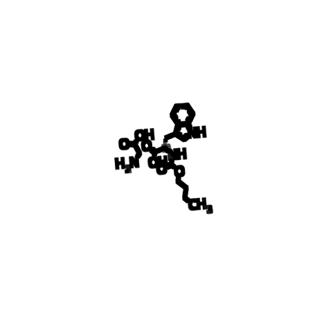 CCCCOC(=O)N[C@@H](Cc1c[nH]c2ccccc12)C(=O)O.NCC(=O)O